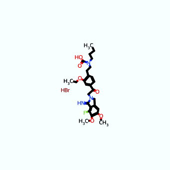 Br.CCCCN(CCc1ccc(C(=O)CN2Cc3cc(OC)c(OC)c(F)c3C2=N)cc1OCC)C(=O)O